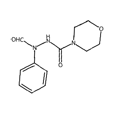 O=[C]N(NC(=O)N1CCOCC1)c1ccccc1